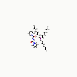 CCCCCCCCP(CCCCCCCC)CCCCCCCC.O=C(/N=N/C(=O)N1CCCCC1)N1CCCCC1